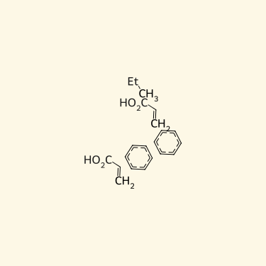 C=CC(=O)O.C=CC(=O)O.CCC.c1ccccc1.c1ccccc1